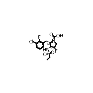 CCS(=O)(=O)N[C@H]1[C@@H](F)CN(C(=O)O)[C@H]1Cc1cccc(Cl)c1F